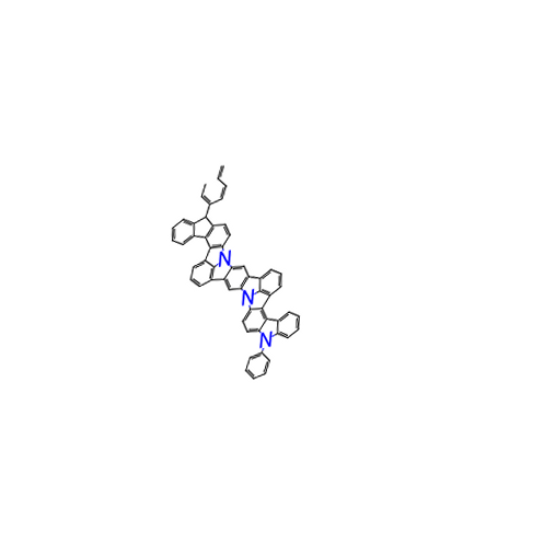 C=C/C=C\C(=C/C)C1c2ccccc2-c2c1ccc1c2c2cccc3c4cc5c(cc4n1c32)c1cccc2c3c4c6ccccc6n(-c6ccccc6)c4ccc3n5c12